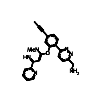 CC#Cc1ccc(-c2ccc(CN)nn2)c(O/C(=C/C(=N)c2ccccn2)NC)c1